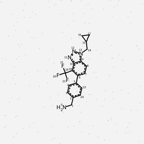 NCc1ccc(-c2ccc3c(nnn3CC3CC3)c2C(F)(F)F)cc1